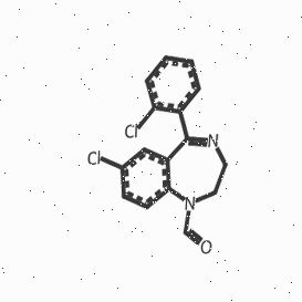 O=CN1CCN=C(c2ccccc2Cl)c2cc(Cl)ccc21